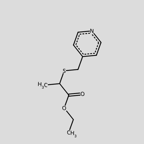 CCOC(=O)C(C)SCc1ccncc1